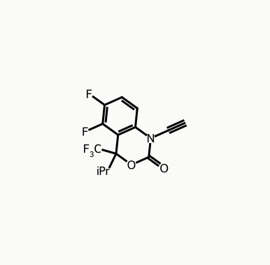 C#CN1C(=O)OC(C(C)C)(C(F)(F)F)c2c1ccc(F)c2F